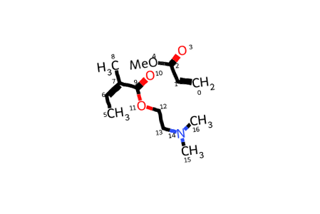 C=CC(=O)OC.CC=C(C)C(=O)OCCN(C)C